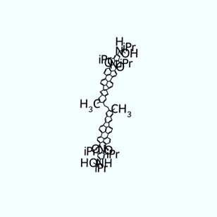 Cc1cc2cc3c(cc2cc1CCc1cc2cc4c(cc2cc1C)-c1ccc2c5ccc6c7c(ccc(c8ccc-4c1c28)c75)C(=O)N(c1c(C(C)C)cc(NC(O)C(C)C)cc1C(C)C)C6=O)C1=CC=C2c4ccc5c6c(ccc(c46)C4=CC=C3C1C42)C(=O)N(c1c(C(C)C)cc(NC(O)C(C)C)cc1C(C)C)C5=O